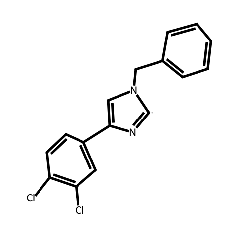 Clc1ccc(-c2cn(Cc3ccccc3)[c]n2)cc1Cl